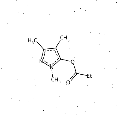 CCC(=O)Oc1c(C)c(C)nn1C